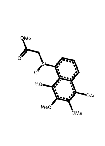 COC(=O)C[S+]([O-])c1cccc2c(OC(C)=O)c(OC)c(OC)c(O)c12